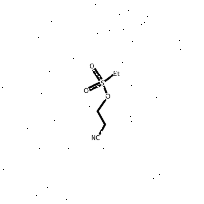 CCS(=O)(=O)OCCC#N